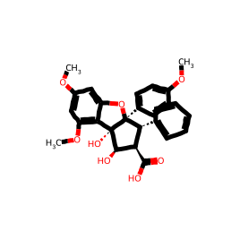 COc1ccc([C@@]23Oc4cc(OC)cc(OC)c4[C@]2(O)[C@H](O)[C@H](C(=O)O)[C@H]3c2ccccc2)cc1